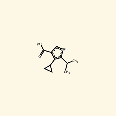 CC(C)c1[nH]cc(C(=O)O)c1C1CC1